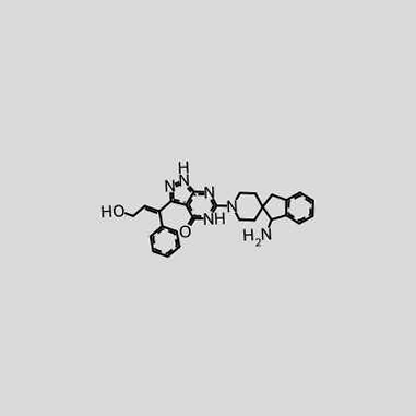 NC1c2ccccc2CC12CCN(c1nc3[nH]nc(C(=CCO)c4ccccc4)c3c(=O)[nH]1)CC2